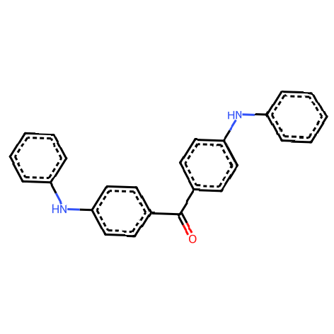 O=C(c1ccc(Nc2ccccc2)cc1)c1ccc(Nc2ccccc2)cc1